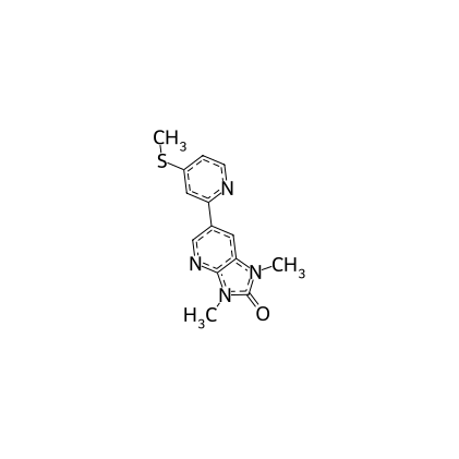 CSc1ccnc(-c2cnc3c(c2)n(C)c(=O)n3C)c1